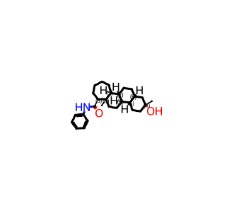 C[C@@]1(O)CC[C@H]2[C@H](CC[C@@H]3[C@@H]2CC[C@]2(C)[C@@H](C(=O)Nc4ccccc4)CCCC[C@@H]32)C1